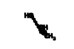 CCN1CCN(CC(O)CCCCCCCCO)CC1